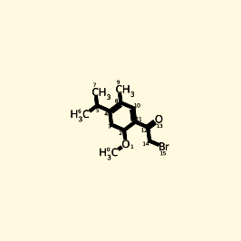 COC1CC(C(C)C)=C(C)C=C1C(=O)CBr